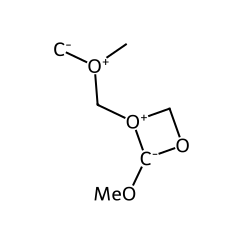 [CH2-][O+](C)C[O+]1CO[C-]1OC